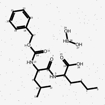 CCCCC(NC(=O)C(CC(C)C)NC(=O)OCc1ccccc1)C(=O)O.OBO